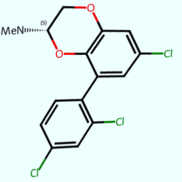 CN[C@@H]1COc2cc(Cl)cc(-c3ccc(Cl)cc3Cl)c2O1